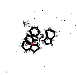 Cl.Cl.[SiH2]=[Ti]([c]1ccccc1)([c]1ccccc1)([CH]1CCC2CC=CC=C21)[CH]1CCC2CC=CC=C21